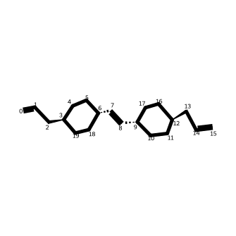 C=CC[C@H]1CC[C@H](C=C[C@H]2CC[C@H](CC=C)CC2)CC1